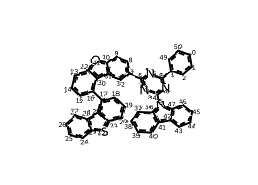 c1ccc(-c2nc(-c3ccc4oc5cccc(-c6cccc7sc8ccccc8c67)c5c4c3)nc(-n3c4ccccc4c4ccccc43)n2)cc1